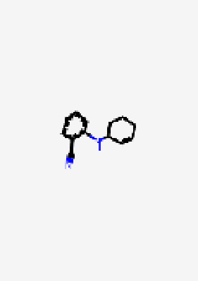 N#Cc1ccccc1NC1C=CCCC1